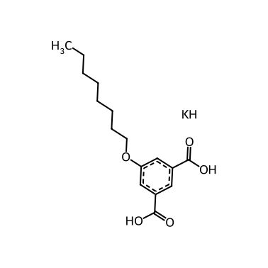 CCCCCCCCOc1cc(C(=O)O)cc(C(=O)O)c1.[KH]